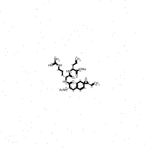 C=CC[C@H](NC(=O)[C@@H](CCCNC(=N)N)NC(=O)[C@H](CC1=CCC2(C=C1)O[C@H]2C=C)NC(C)=O)C(=O)OC